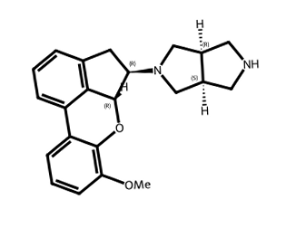 COc1cccc2c1O[C@@H]1c3c(cccc3-2)C[C@H]1N1C[C@H]2CNC[C@H]2C1